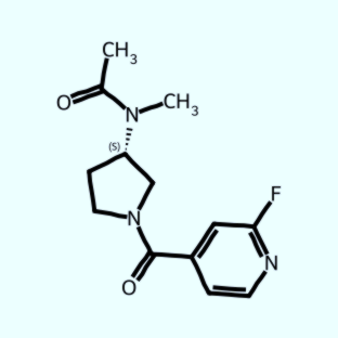 CC(=O)N(C)[C@H]1CCN(C(=O)c2ccnc(F)c2)C1